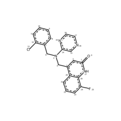 O=c1cc(CN(Cc2ccccc2Cl)c2cnccn2)c2cccc(F)c2[nH]1